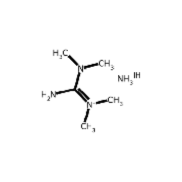 CN(C)C(N)=[N+](C)C.I.N